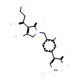 C=C(CCC(C)C)C1=C(C)CN(Cc2ccc(/C(=C/N(C)C)C(=C)C)cc2C)C1=C